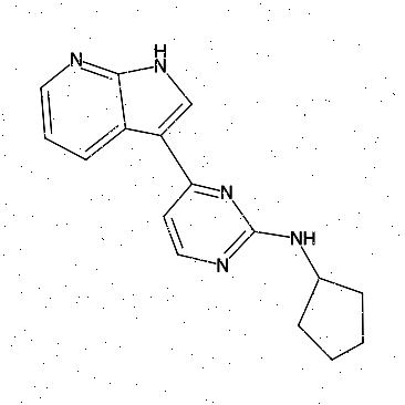 c1cnc2[nH]cc(-c3ccnc(NC4CCCC4)n3)c2c1